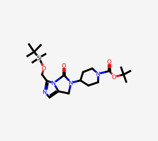 CC(C)(C)OC(=O)N1CCC(N2Cc3cnc(CO[Si](C)(C)C(C)(C)C)n3C2=O)CC1